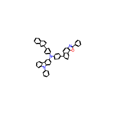 c1ccc(-c2nc3ccc4c(-c5ccc(N(c6ccc(-c7ccc8ccccc8c7)cc6)c6ccc7c(c6)c6ccccc6n7-c6ccccc6)cc5)cccc4c3o2)cc1